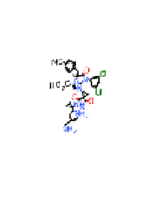 C[C@@]1(Cc2ccc(C#N)cc2)C(=O)N(c2cc(Cl)cc(Cl)c2)C2N(C3CC3(C(N)=O)C(=O)NC3(c4cc(CN)ccn4)CC3)C=C(C(=O)O)N21